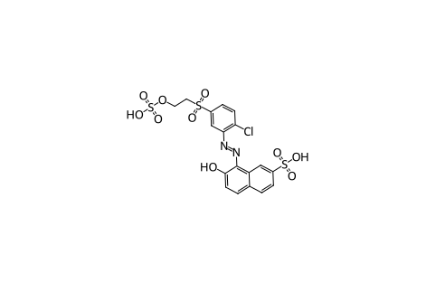 O=S(=O)(O)OCCS(=O)(=O)c1ccc(Cl)c(N=Nc2c(O)ccc3ccc(S(=O)(=O)O)cc23)c1